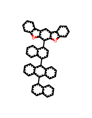 c1ccc2c(-c3c4ccccc4c(-c4ccc(-c5c6oc7ccccc7c6cc6c5oc5ccccc56)c5ccccc45)c4ccccc34)cccc2c1